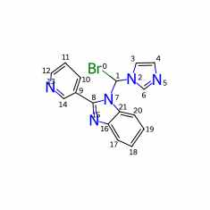 BrC(n1ccnc1)n1c(-c2cccnc2)nc2ccccc21